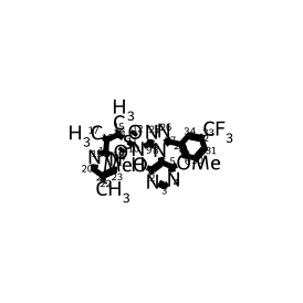 COc1ncnc(OC)c1-n1c(NS(=O)(=O)C(C)C(C)c2ncc(C)cn2)nnc1-c1cccc(C(F)(F)F)c1